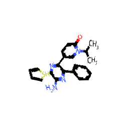 CC(C)n1cc(-c2nc([SH]3C=CC=C3)c(N)nc2-c2ccccc2)ccc1=O